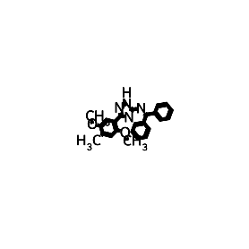 COc1cc(-c2n[nH]c(N=C(c3ccccc3)c3ccccc3)n2)c(OC)cc1C